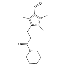 Cc1c(CCC(=O)N2CCCCC2)c(C)n(C)c1C=O